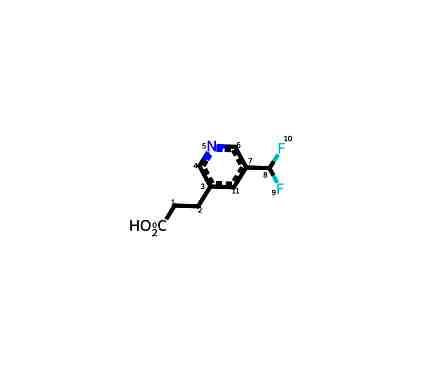 O=C(O)CCc1cncc(C(F)F)c1